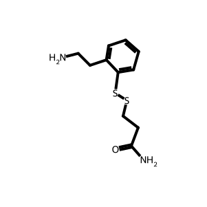 NCCc1ccccc1SSCCC(N)=O